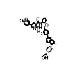 Cn1cc(-c2cnc(N)c(C(=O)N[C@H]3CCC[C@@H]3OCc3ccc(-c4ccc5c(c4)C[C@H](F)[C@@H]5N4CCN(CCO)CC4)cc3)c2)ccc1=O